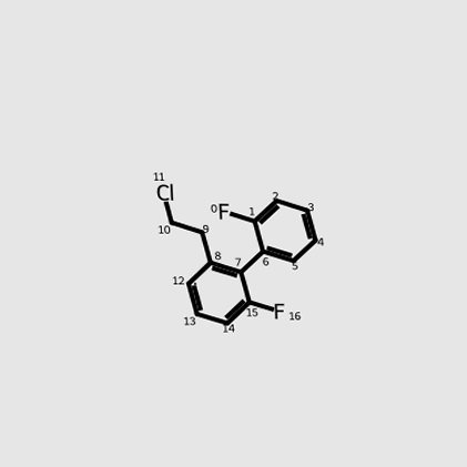 Fc1ccccc1-c1c(CCCl)[c]ccc1F